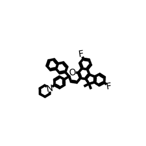 CC1(C)c2cc(F)ccc2-c2c1c1c(c3cc(F)ccc23)OC(c2ccc(N3CCCCC3)cc2)(c2ccc3ccccc3c2)C=C1